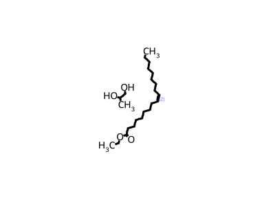 CC(O)CO.CCCCCCCC/C=C\CCCCCCCC(=O)OCC